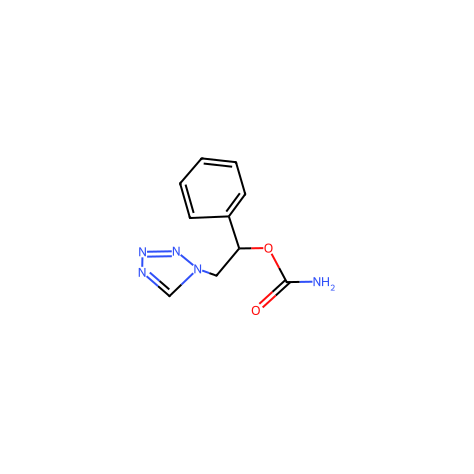 NC(=O)OC(Cn1cnnn1)c1ccccc1